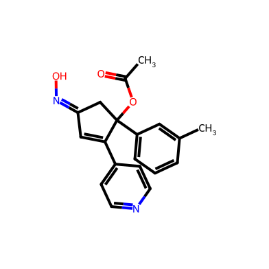 CC(=O)OC1(c2cccc(C)c2)CC(=NO)C=C1c1ccncc1